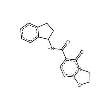 O=C(NC1CCc2ccccc21)c1cnc2n(c1=O)CCS2